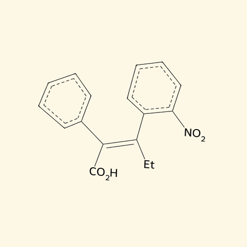 CCC(=C(C(=O)O)c1ccccc1)c1ccccc1[N+](=O)[O-]